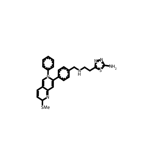 CSC1C=CC2=CN(c3ccccc3)C(c3ccc(CNCCc4nnc(N)s4)cc3)=CC2=N1